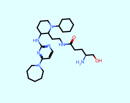 N[C@H](CO)CCC(=O)NCCC1C(Nc2nccc(N3CCCCCC3)n2)CCCN1C1CCCCC1